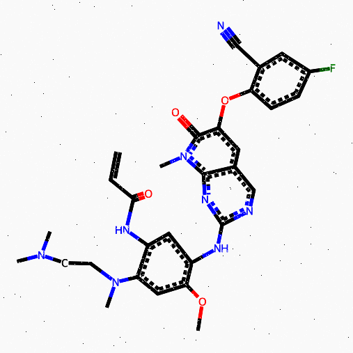 C=CC(=O)Nc1cc(Nc2ncc3cc(Oc4ccc(F)cc4C#N)c(=O)n(C)c3n2)c(OC)cc1N(C)CCN(C)C